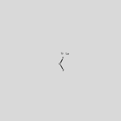 FOF.[La].[Li]